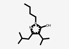 CCCCn1nc(CC(C)C)c(C(C)C)c1O